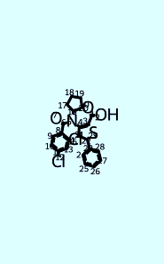 O=C(O)C1=C(N(C(=O)c2ccc(Cl)cc2Cl)C2CCCC2)CC(c2ccccc2)S1